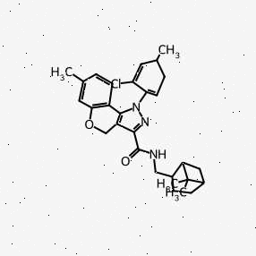 Cc1ccc2c(c1)OCc1c(C(=O)NCC3CCC4CC3C4(C)C)nn(C3=CCC(C)C=C3Cl)c1-2